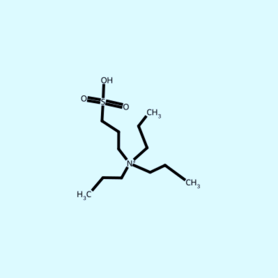 CCC[N+](CCC)(CCC)CCCS(=O)(=O)O